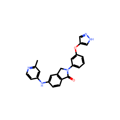 Cc1cc(Nc2ccc3c(c2)CN(c2cccc(Oc4cn[nH]c4)c2)C3=O)ccn1